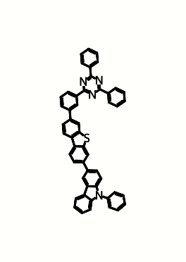 c1ccc(-c2nc(-c3ccccc3)nc(-c3cccc(-c4ccc5c(c4)sc4cc(-c6ccc7c(c6)c6ccccc6n7-c6ccccc6)ccc45)c3)n2)cc1